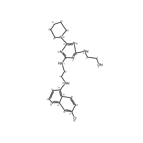 OCCNc1nc(NCCNc2ccnc3cc(Cl)ccc23)nc(N2CCCCC2)n1